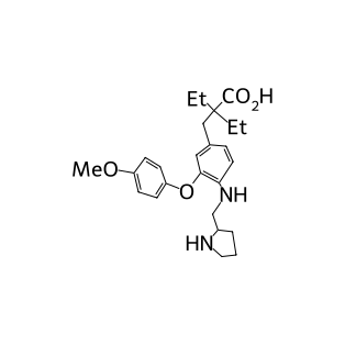 CCC(CC)(Cc1ccc(NCC2CCCN2)c(Oc2ccc(OC)cc2)c1)C(=O)O